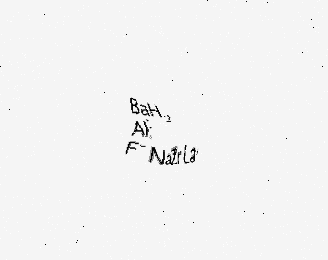 [Al].[BaH2].[F-].[La].[Na+].[Zr]